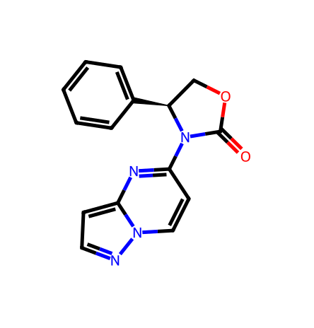 O=C1OC[C@H](c2ccccc2)N1c1ccn2nccc2n1